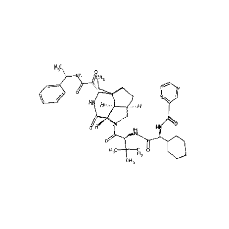 CCC12CC[C@H]3CN(C(=O)[C@@H](NC(=O)[C@@H](NC(=O)c4cnccn4)C4CCCCC4)C(C)(C)C)[C@H](C(=O)N[C@@H]1C(=O)C(=O)N[C@@H](C)c1ccccc1)[C@H]32